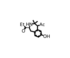 CCC(=O)[C@@H]1Cc2ccc(O)cc2C(C(C)=O)C(C)(C)N1